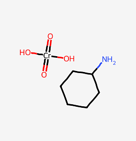 NC1CCCCC1.[O]=[Cr](=[O])([OH])[OH]